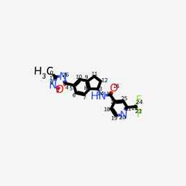 Cc1noc(-c2ccc3c(c2)CC[C@H]3NC(=O)c2ccnc(C(F)F)c2)n1